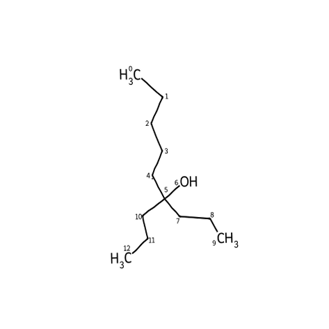 CCCC[CH]C(O)(CCC)CCC